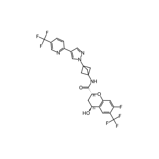 O=C(NC12CC(n3cc(-c4ccc(C(F)(F)F)cn4)cn3)(C1)C2)[C@H]1C[C@H](O)c2cc(C(F)(F)F)c(F)cc2O1